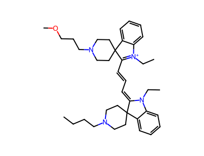 CCCCN1CCC2(CC1)C(=CC=CC1=[N+](CC)c3ccccc3C13CCN(CCCOC)CC3)N(CC)c1ccccc12